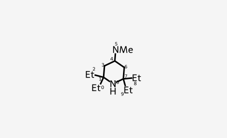 CCC1(CC)CC(NC)CC(CC)(CC)N1